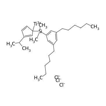 CCCCCCc1cc(CCCCCC)cc([Si](C)(C)[C]2([Ti+3])C=CC(C(C)C)=C2)c1.[Cl-].[Cl-].[Cl-]